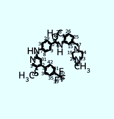 CSc1cnc(Nc2ccc(C(=O)Nc3cc(CN4CCN(C)CC4)ccc3C)cc2)cc1-c1ccc(C(F)(F)F)cc1